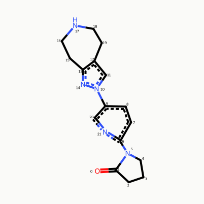 O=C1CCCN1c1ccc(-n2cc3c(n2)CCNCC3)cn1